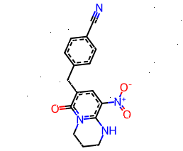 N#Cc1ccc(Cc2cc([N+](=O)[O-])c3n(c2=O)CCCN3)cc1